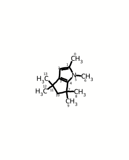 Cc1cc2c(n1C)C(C)(C)CC2(C)C